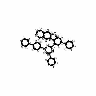 c1ccc(-c2ccc(-c3nc(-c4ccccc4)nc(-c4cc(-c5ccccc5)cc5oc6cc7ccncc7cc6c45)n3)cc2)cc1